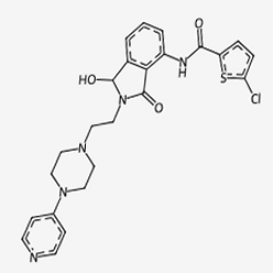 O=C(Nc1cccc2c1C(=O)N(CCN1CCN(c3ccncc3)CC1)C2O)c1ccc(Cl)s1